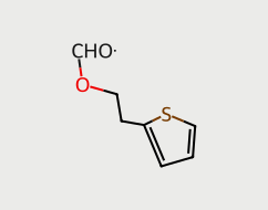 O=[C]OCCc1cccs1